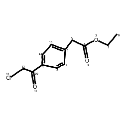 CCOC(=O)Cc1ccc(C(=O)CCl)cc1